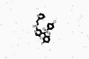 O=S(=O)(c1ccc(Cl)cc1)C(c1cc(F)ccc1F)c1cc(NCCc2ccccn2)ncc1Cl